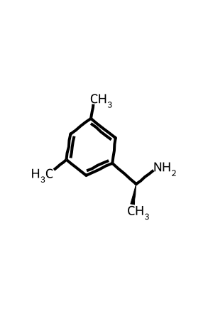 Cc1cc(C)cc([C@H](C)N)c1